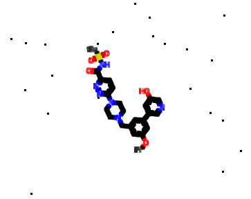 CC(C)Oc1cc(CN2CCN(c3ccc(C(=O)NS(=O)(=O)C(C)(C)C)nn3)CC2)cc(-c2cncc(O)c2)c1